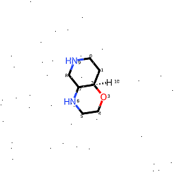 C1C[C@H]2OCCNC2CN1